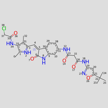 Cc1[nH]c(/C=C2\C(=O)Nc3cc(NC(=O)CC(=O)Nc4cc(C(C)(C)C)on4)ccc32)c(C)c1NC(=O)CCl